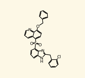 O=S(=O)(c1ccc(OCc2ccccc2)c2ncccc12)c1cccc2[nH]c(Cc3ccccc3Cl)nc12